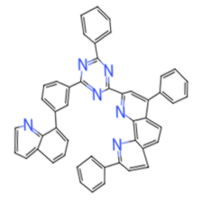 c1ccc(-c2ccc3ccc4c(-c5ccccc5)cc(-c5nc(-c6ccccc6)nc(-c6cccc(-c7cccc8cccnc78)c6)n5)nc4c3n2)cc1